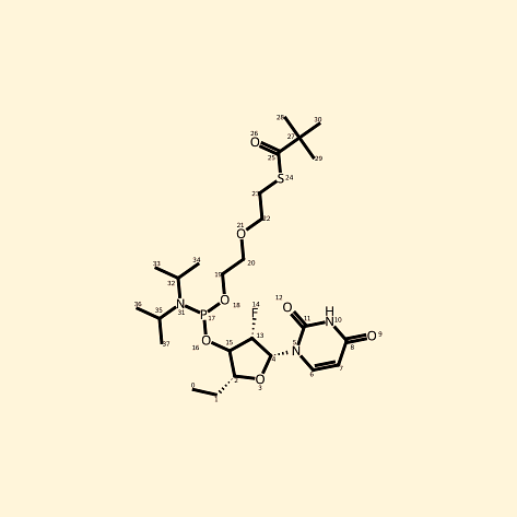 CC[C@H]1O[C@@H](n2ccc(=O)[nH]c2=O)[C@@H](F)C1OP(OCCOCCSC(=O)C(C)(C)C)N(C(C)C)C(C)C